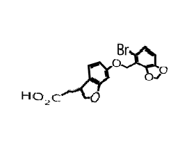 O=C(O)CC1COc2cc(OCc3c(Br)ccc4c3OCO4)ccc21